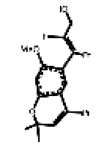 CCC(=C(F)CO)c1cc2c(cc1OC)OC(C)(C)C=C2C(C)C